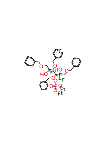 CCOP(=O)(OCC)OC(F)[C@@](O)(COCc1ccccc1)[C@@H](OCc1ccccc1)[C@H](OCc1ccccc1)[C@H](O)COCc1ccccc1